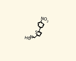 O=[N+]([O-])c1ccc(-c2ccc(C=NO)s2)cc1